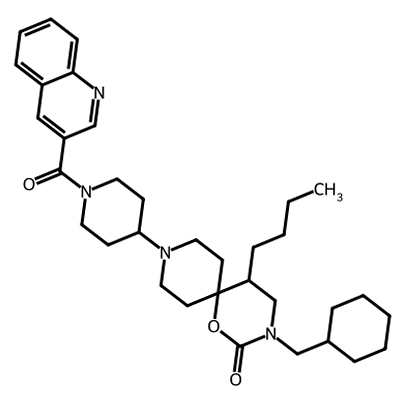 CCCCC1CN(CC2CCCCC2)C(=O)OC12CCN(C1CCN(C(=O)c3cnc4ccccc4c3)CC1)CC2